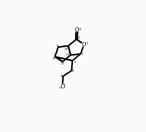 O=C1OC2C(CCCl)C3CC1C2C3